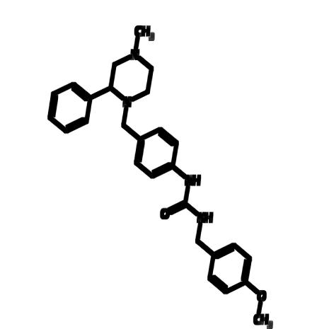 COc1ccc(CNC(=O)Nc2ccc(CN3CCN(C)CC3c3ccccc3)cc2)cc1